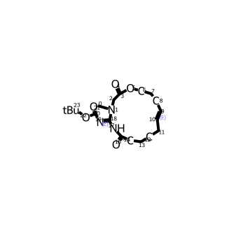 CN1CC(=O)OCCC/C=C/CCCCC(=O)N/C1=N/C(=O)OC(C)(C)C